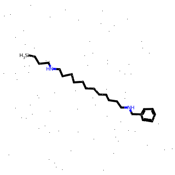 [SiH3]CCCNCCCCCCCCCCCCNCc1ccccc1